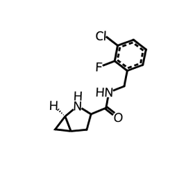 O=C(NCc1cccc(Cl)c1F)C1CC2C[C@H]2N1